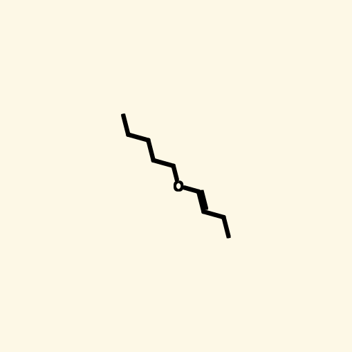 CC/C=C/OCCCCC